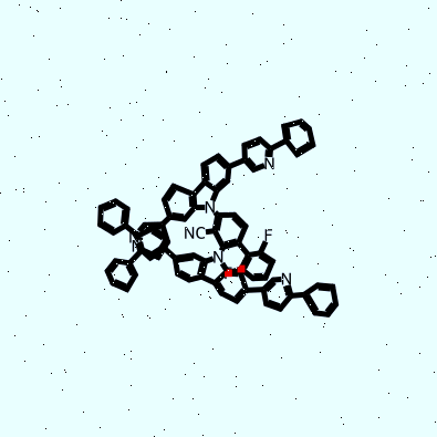 N#Cc1c(-n2c3cc(-c4ccc(-c5ccccc5)nc4)ccc3c3ccc(-c4ccc(-c5ccccc5)nc4)cc32)ccc(-c2c(F)cccc2F)c1-n1c2cc(-c3ccc(-c4ccccc4)nc3)ccc2c2ccc(-c3ccc(-c4ccccc4)nc3)cc21